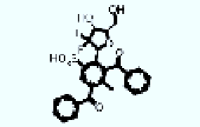 Cc1c(C(=O)c2ccccc2)cc(S(=O)(=O)O)c([C@@H]2O[C@H](CO)[C@@H](O)C2(F)F)c1C(=O)c1ccccc1